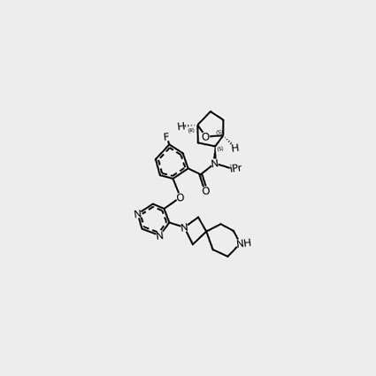 CC(C)N(C(=O)c1cc(F)ccc1Oc1cncnc1N1CC2(CCNCC2)C1)[C@H]1C[C@H]2CC[C@@H]1O2